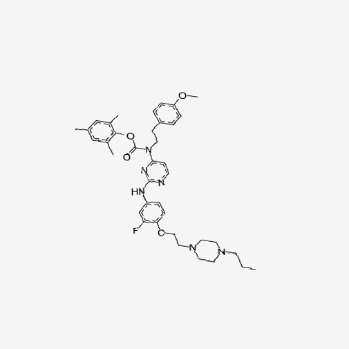 CCCN1CCN(CCOc2ccc(Nc3nccc(N(CCc4ccc(OC)cc4)C(=O)Oc4c(C)cc(C)cc4C)n3)cc2F)CC1